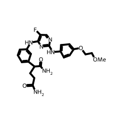 COCCOc1ccc(Nc2ncc(F)c(Nc3cccc(C(CCC(N)=O)C(N)=O)c3)n2)cc1